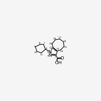 O=C(O)c1nn(C2CCCCC2)c2c1CCCCCC2